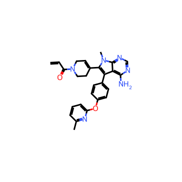 C=CC(=O)N1CC=C(c2c(-c3ccc(Oc4cccc(C)n4)cc3)c3c(N)ncnc3n2C)CC1